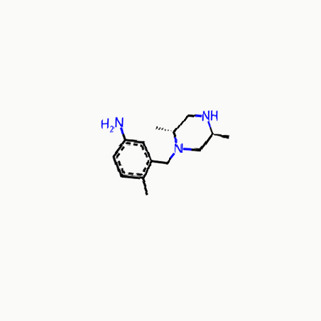 Cc1ccc(N)cc1CN1C[C@H](C)NC[C@H]1C